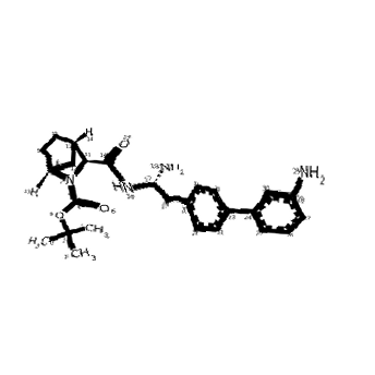 CC(C)(C)OC(=O)N1[C@@H]2CC[C@@H](C2)[C@H]1C(=O)N[C@H](N)Cc1ccc(-c2cccc(N)c2)cc1